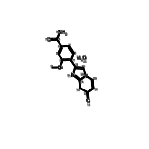 COc1cc(C(N)=O)ccc1-c1cn2c(n1)CC(=O)C=C2.O